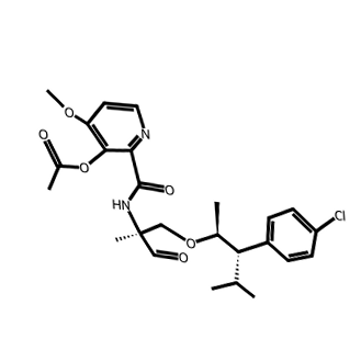 COc1ccnc(C(=O)N[C@](C)(C=O)CO[C@@H](C)[C@H](c2ccc(Cl)cc2)C(C)C)c1OC(C)=O